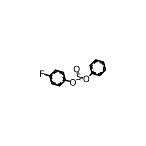 O=S(Oc1ccccc1)Oc1ccc(F)cc1